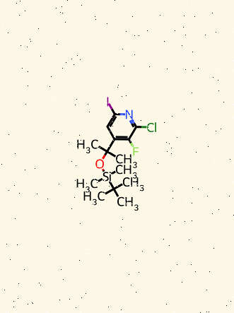 CC(C)(O[Si](C)(C)C(C)(C)C)c1cc(I)nc(Cl)c1F